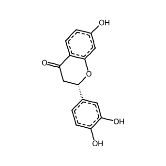 O=C1C[C@@H](c2ccc(O)c(O)c2)Oc2cc(O)ccc21